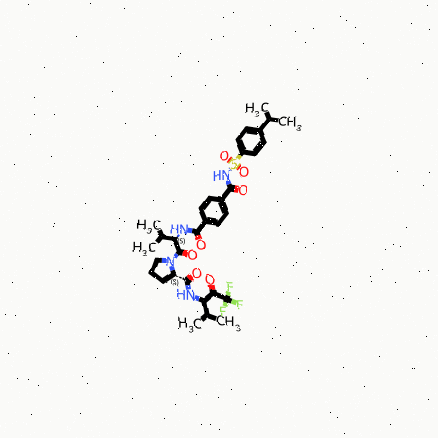 CC(C)c1ccc(S(=O)(=O)NC(=O)c2ccc(C(=O)N[C@H](C(=O)N3CCC[C@H]3C(=O)NC(C(=O)C(F)(F)F)C(C)C)C(C)C)cc2)cc1